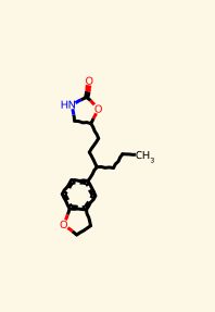 CCCC(CCC1CNC(=O)O1)c1ccc2c(c1)CCO2